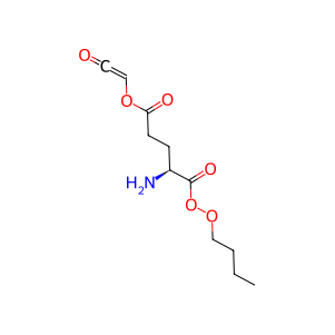 CCCCOOC(=O)[C@@H](N)CCC(=O)OC=C=O